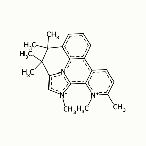 Cc1ccc2c3cccc4c3n3c(c[n+](C)c3c2[n+]1C)C(C)(C)C4(C)C